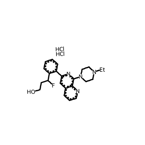 CCN1CCN(c2nc(-c3ccccc3C(F)CCO)cc3cccnc23)CC1.Cl.Cl